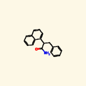 NC(=O)C(Cc1ccccc1)c1cccc2ccccc12